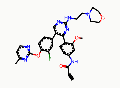 C#CC(=O)Nc1ccc(-c2nc(NCCN3CCOCC3)ncc2-c2ccc(Oc3nccc(C)n3)c(F)c2)c(OC)c1